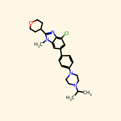 CC(C)N1CCN(c2ccc(-c3cc(Cl)c4nc(C5CCOCC5)n(C)c4c3)cc2)CC1